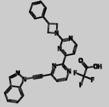 C(#Cn1ncc2ccccc21)c1ccnc(-c2ccnc(N3CC(c4ccccc4)C3)n2)n1.O=C(O)C(F)(F)F